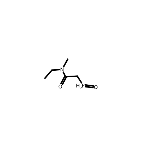 CCN(C)C(=O)C[PH2]=O